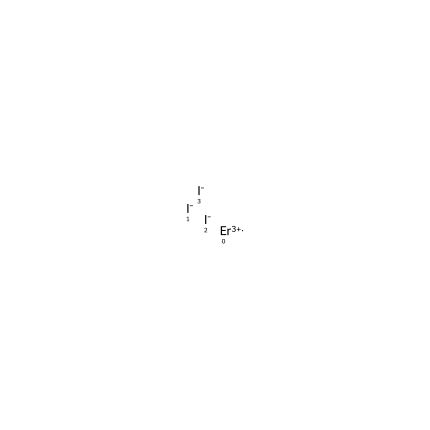 [Er+3].[I-].[I-].[I-]